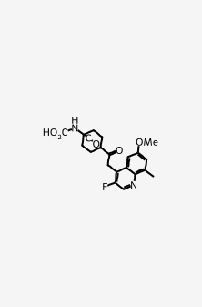 COc1cc(C)c2ncc(F)c(CC(=O)C34CCC(NC(=O)O)(CC3)CO4)c2c1